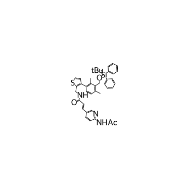 CC(=O)Nc1ccc(C=CC(=O)NCc2sccc2-c2ccc(C)c(CO[Si](c3ccccc3)(c3ccccc3)C(C)(C)C)c2C)cn1